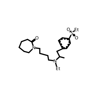 CCN(CCCCN1CCCCCC1=O)C(C)Cc1ccc(S(=O)(=O)CC)cc1